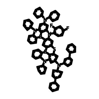 Fc1ccc(N2c3cc4c(cc3B3c5ccccc5N(c5ccccc5)c5cc(N(c6ccccc6)c6ccccc6)cc2c53)B2c3ccccc3N(c3ccccc3)c3cc(N(c5ccc(-c6ccccc6)cc5)c5cccc(-c6ccccc6)c5)cc(c32)S4)c(F)c1